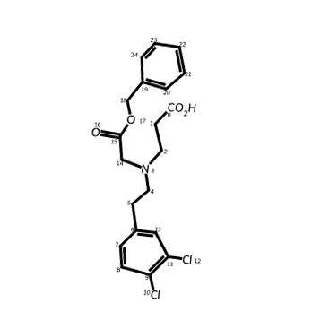 O=C(O)CCN(CCc1ccc(Cl)c(Cl)c1)CC(=O)OCc1ccccc1